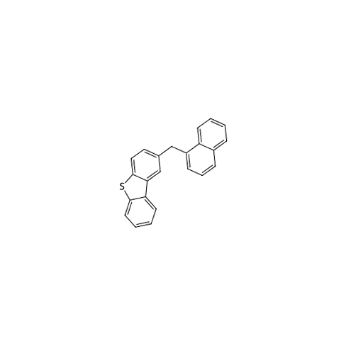 c1ccc2c(Cc3ccc4sc5ccccc5c4c3)cccc2c1